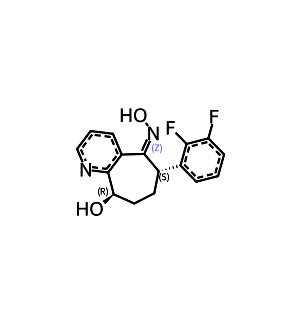 O/N=C1\c2cccnc2[C@H](O)CC[C@H]1c1cccc(F)c1F